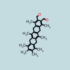 Cc1c(C)c(C)c2c(c1C)Cc1c(C)c3c(c(C)c1C2)Cc1c(C)c(C=O)c(C=O)c(C)c1C3